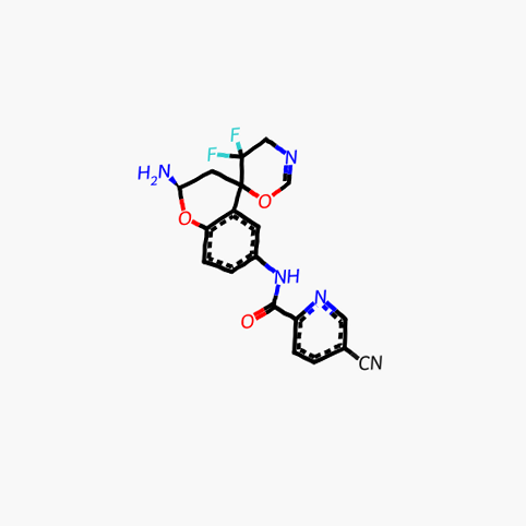 N#Cc1ccc(C(=O)Nc2ccc3c(c2)C2(C[C@H](N)O3)OC=NCC2(F)F)nc1